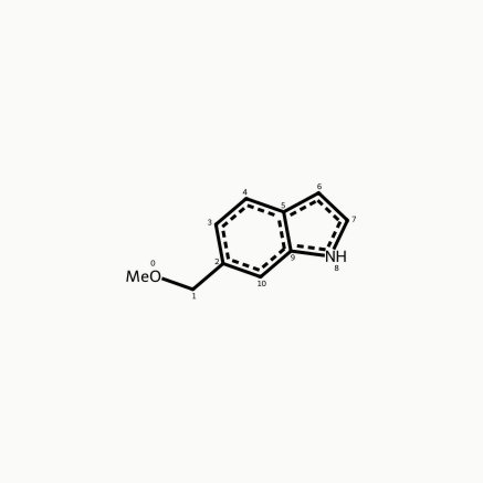 COCc1ccc2cc[nH]c2c1